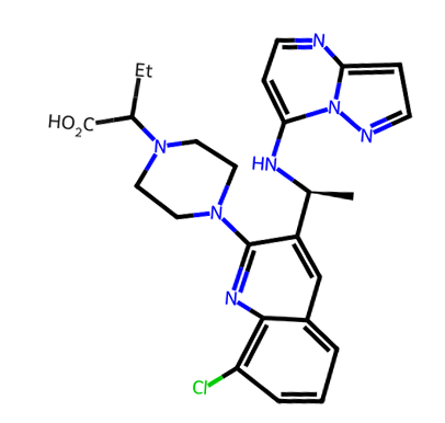 CCC(C(=O)O)N1CCN(c2nc3c(Cl)cccc3cc2[C@H](C)Nc2ccnc3ccnn23)CC1